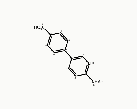 CC(=O)Nc1ccc(-c2ccc(C(=O)O)cc2)cn1